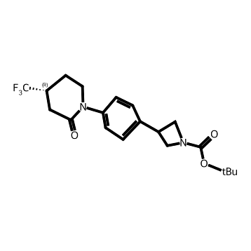 CC(C)(C)OC(=O)N1CC(c2ccc(N3CC[C@@H](C(F)(F)F)CC3=O)cc2)C1